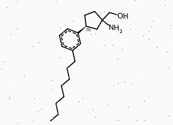 CCCCCCCCc1cccc([C@H]2CCC(N)(CO)C2)c1